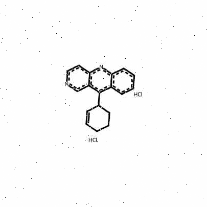 C1=CC(c2c3ccccc3nc3ccncc23)CCC1.Cl.Cl